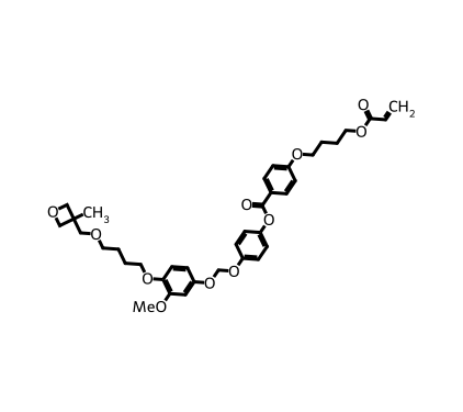 C=CC(=O)OCCCCOc1ccc(C(=O)Oc2ccc(OCOc3ccc(OCCCCOCC4(C)COC4)c(OC)c3)cc2)cc1